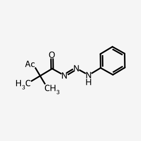 CC(=O)C(C)(C)C(=O)N=NNc1ccccc1